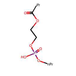 CCCOP(=O)(O)OCCOC(=O)C(C)C